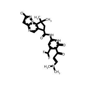 CN(C)/C=C/C(=O)c1c(C(F)F)cc(NC(=O)C2CC(C)(C)c3c2cnc2cc(Cl)nn32)[nH]c1=O